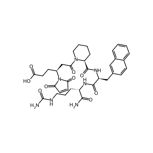 NC(=O)NCCC[C@H](NC(=O)[C@H](Cc1ccc2ccccc2c1)NC(=O)[C@@H]1CCCCN1C(=O)C[C@H](CCC(=O)O)N1C(=O)C=CC1=O)C(N)=O